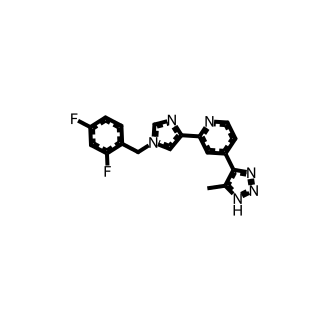 Cc1[nH]nnc1-c1ccnc(-c2cn(Cc3ccc(F)cc3F)cn2)c1